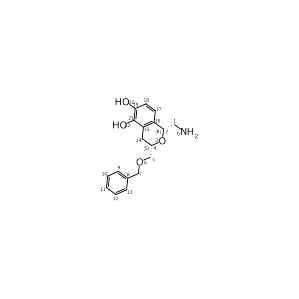 NC[C@@H]1O[C@H](COCc2ccccc2)Cc2c1ccc(O)c2O